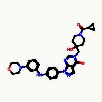 O=C(C1CC1)N1CCC(O)(Cn2cnc3c(cnn3-c3ccc(Nc4cccc(N5CCOCC5)c4)cc3)c2=O)CC1